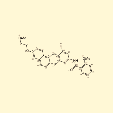 COCCOc1ccc2c(Oc3c(F)cc(NC(=O)c4cnccc4OC)cc3F)ccnc2c1